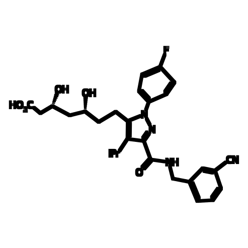 CC(C)c1c(C(=O)NCc2cccc(C#N)c2)nn(-c2ccc(F)cc2)c1CC[C@@H](O)C[C@@H](O)CC(=O)O